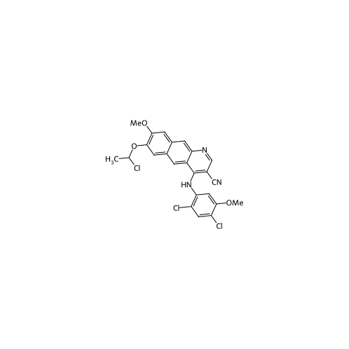 COc1cc(Nc2c(C#N)cnc3cc4cc(OC)c(OC(C)Cl)cc4cc23)c(Cl)cc1Cl